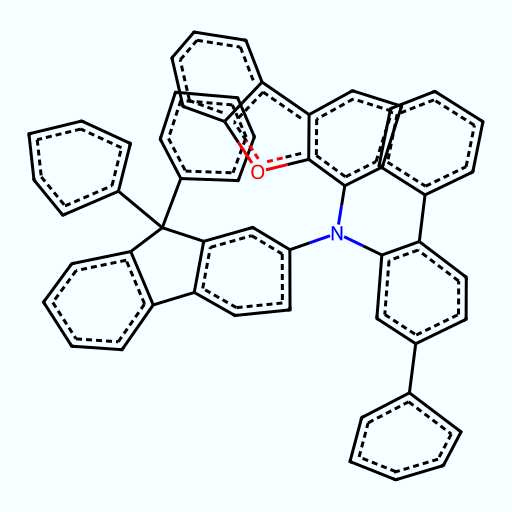 c1ccc(-c2ccc(-c3ccccc3)c(N(c3ccc4c(c3)C(c3ccccc3)(c3ccccc3)c3ccccc3-4)c3cccc4c3oc3ccccc34)c2)cc1